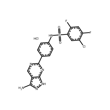 Cl.Nc1n[nH]c2nc(-c3ccc(NS(=O)(=O)c4cc(Cl)c(F)cc4F)cc3)ncc12